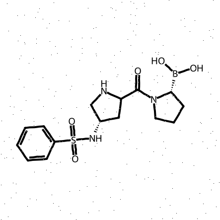 O=C(C1C[C@H](NS(=O)(=O)c2ccccc2)CN1)N1CCC[C@H]1B(O)O